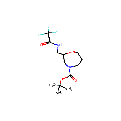 CC(C)(C)OC(=O)N1CCCOC(CNC(=O)C(F)(F)F)C1